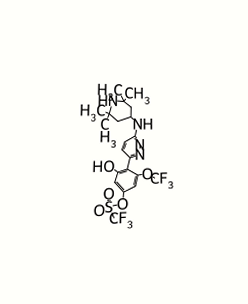 CC1(C)CC(Nc2ccc(-c3c(O)cc(OS(=O)(=O)C(F)(F)F)cc3OC(F)(F)F)nn2)CC(C)(C)N1